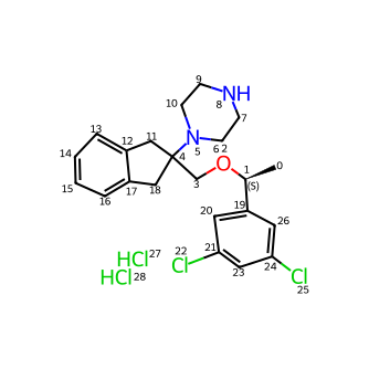 C[C@H](OCC1(N2CCNCC2)Cc2ccccc2C1)c1cc(Cl)cc(Cl)c1.Cl.Cl